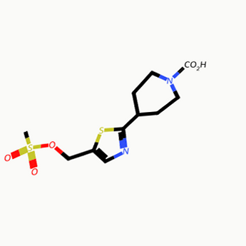 CS(=O)(=O)OCc1cnc(C2CCN(C(=O)O)CC2)s1